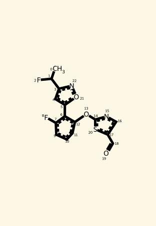 CC(F)c1cc(-c2c(F)cccc2Oc2ncc(C=O)s2)on1